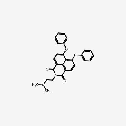 CN(C)CCN1C(=O)c2ccc(Oc3ccccc3)c3c(Oc4ccccc4)ccc(c23)C1=O